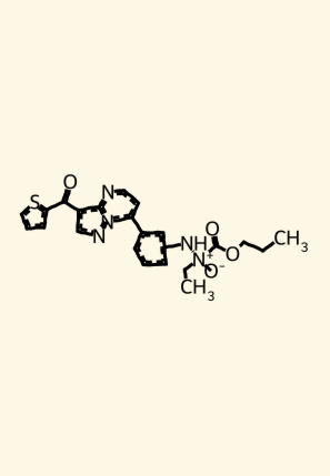 CCCOC(=O)[N+]([O-])(CC)Nc1cccc(-c2ccnc3c(C(=O)c4cccs4)cnn23)c1